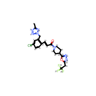 Cc1nnn(Cc2cc(Cl)ccc2C=CC(=O)N2CCC(c3nnc(CC(F)(F)F)o3)CC2)n1